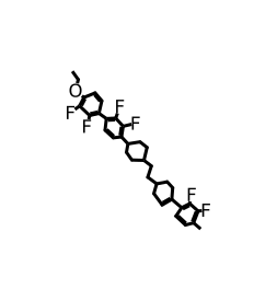 CCOc1ccc(-c2ccc(C3CCC(CCC4CC=C(c5ccc(C)c(F)c5F)CC4)CC3)c(F)c2F)c(F)c1F